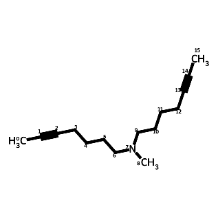 CC#CCCCCN(C)CCCCC#CC